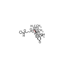 CC1(C)O[C@@H]2C[C@H]3[C@@H]4CCC5=CC(=O)C=C[C@]5(C)[C@@]4(F)[C@@H](O)C[C@]3(C)[C@]2(C(=O)COC(=O)CCCC(=O)NC2CCCC2)O1